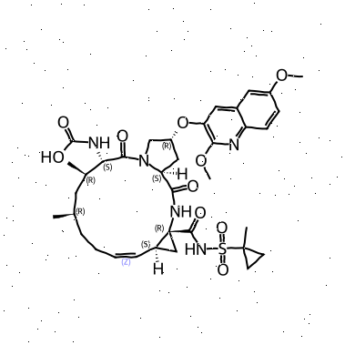 COc1ccc2nc(OC)c(O[C@@H]3C[C@H]4C(=O)N[C@]5(C(=O)NS(=O)(=O)C6(C)CC6)C[C@H]5/C=C\CC[C@@H](C)C[C@@H](C)[C@H](NC(=O)O)C(=O)N4C3)cc2c1